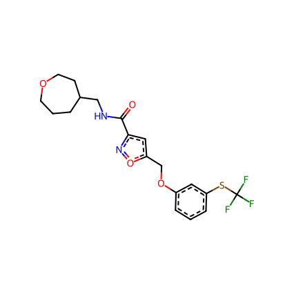 O=C(NCC1CCCOCC1)c1cc(COc2cccc(SC(F)(F)F)c2)on1